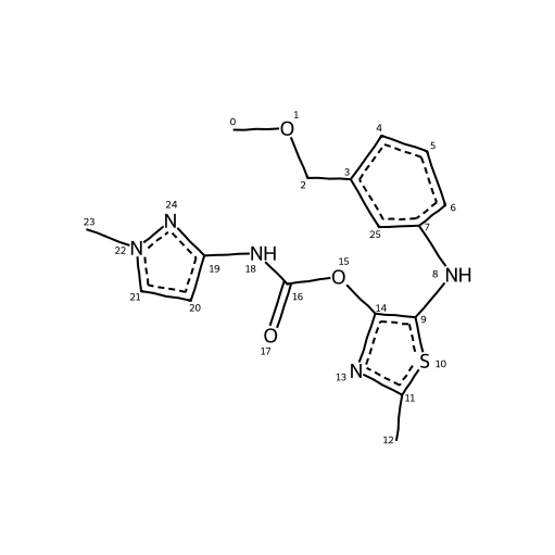 COCc1cccc(Nc2sc(C)nc2OC(=O)Nc2ccn(C)n2)c1